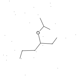 [CH2]CCC(CC)OC(C)C